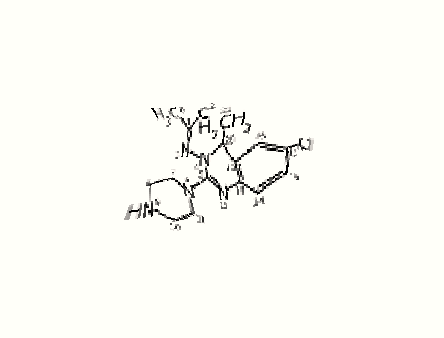 CC(C)=NN1C(N2CCNCC2)=Nc2ccc(Cl)cc2C1C